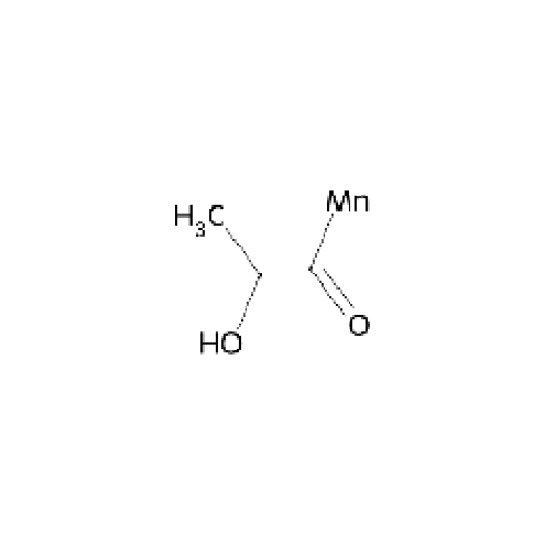 CCO.O=[CH][Mn]